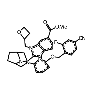 COC(=O)c1ccc2nc(CN3C4CCC3CN(c3cccc(OCc5ccc(C#N)cc5F)n3)C4)n(C[C@@H]3CCO3)c2c1